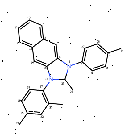 Cc1ccc(N2c3cc4ccccc4cc3N(c3ccc(C)cc3C)C2C)cc1